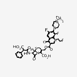 CN1CCN(c2c(F)cc3c(=O)c(C(=O)OCC4=C(C(=O)O)N5C(=O)[C@H](NC(=O)C(C(=O)O)c6ccccc6)[C@@H]5SC4)cn(CCF)c3c2F)CC1